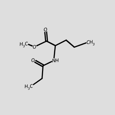 CCCC(NC(=O)CC)C(=O)OC